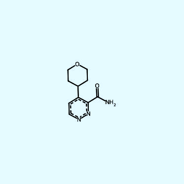 NC(=O)c1nnccc1C1CCOCC1